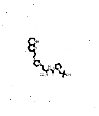 CC(C)(O)CN1CCC[C@H]1C(=O)NC(CCN1CC[C@@H](CCc2ccc3c(n2)NCCC3)C1)C(=O)O